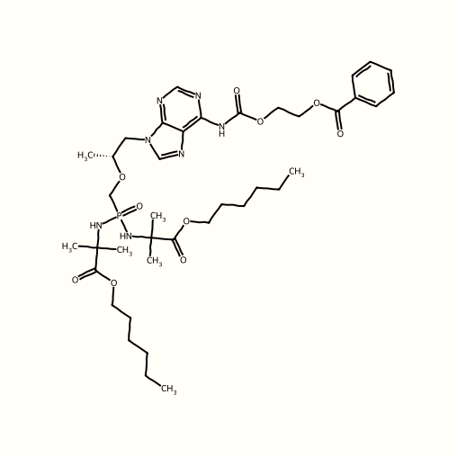 CCCCCCOC(=O)C(C)(C)NP(=O)(CO[C@H](C)Cn1cnc2c(NC(=O)OCCOC(=O)c3ccccc3)ncnc21)NC(C)(C)C(=O)OCCCCCC